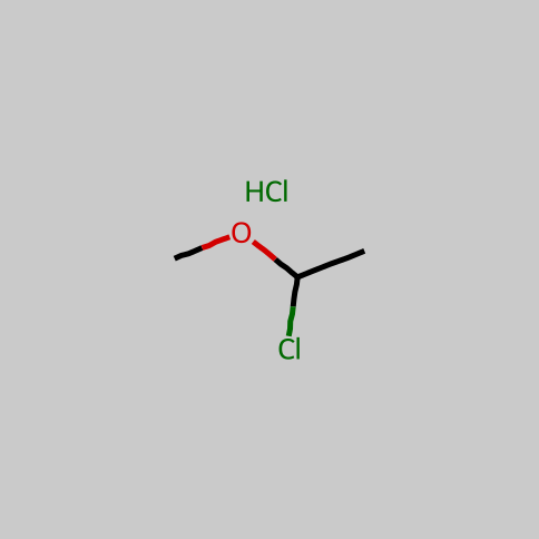 COC(C)Cl.Cl